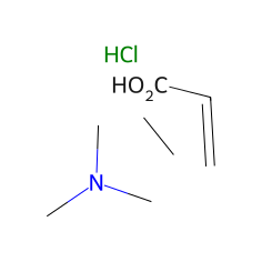 C=CC(=O)O.CC.CN(C)C.Cl